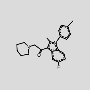 Cc1ccc(-n2c(C)c(C(=O)CN3CCCCC3)c3cc(F)ccc32)cc1